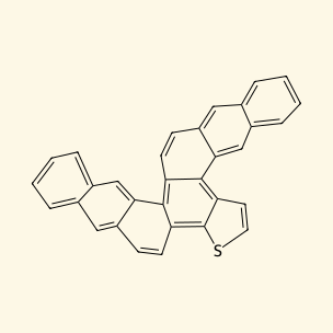 c1ccc2cc3c(ccc4c3c3ccsc3c3ccc5cc6ccccc6cc5c34)cc2c1